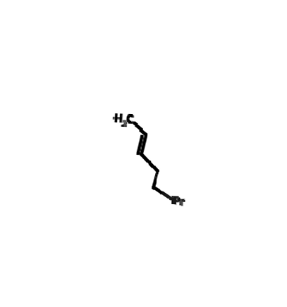 [CH2]/C=C/CCC(C)C